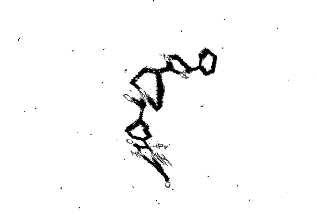 CC(C)[C@]1(c2ccc(C(=O)N3CCC(c4ncc(-c5ccccc5)s4)CC3)cc2)NC(=O)NC1=O